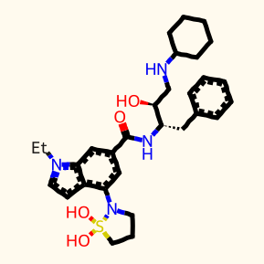 CCn1ccc2c(N3CCCS3(O)O)cc(C(=O)N[C@@H](Cc3ccccc3)[C@@H](O)CNC3CCCCC3)cc21